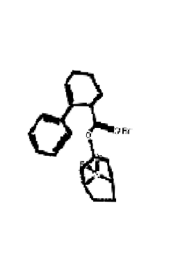 CC[N+]1(C(C)C)C2CCC1CC(OC(=O)C1CCCC=C1c1ccccc1)C2.[Br-]